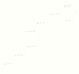 CCCN(C1CCC(C(=O)OCc2ccccc2)CC1)S(C)(=O)=O